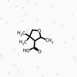 CC1OCC(C)(C)C1C(=O)O